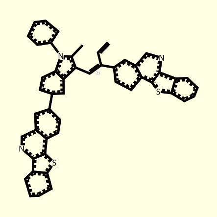 C=C/C(=C\c1c(C)n(-c2ccccc2)c2ccc(-c3ccc4c(cnc5c6ccccc6sc45)c3)cc12)c1ccc2c(cnc3c4ccccc4sc23)c1